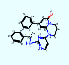 C[C@H](Nc1nccc(N2CCCn3c2cc(-c2ccccc2)cc3=O)n1)c1ccccc1